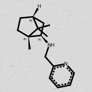 CC1(C)[C@@H]2CC[C@@]1(C)[C@H](NCc1ccccn1)C2